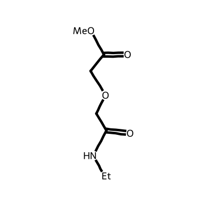 CCNC(=O)COCC(=O)OC